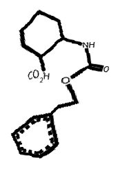 O=C(NC1CCCCC1C(=O)O)OCc1ccccc1